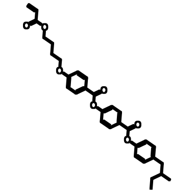 C=CC(=O)OCCCCOc1ccc(C(=O)Oc2ccc(C(=O)Oc3ccc(CC(C)CC)cc3)cc2)cc1